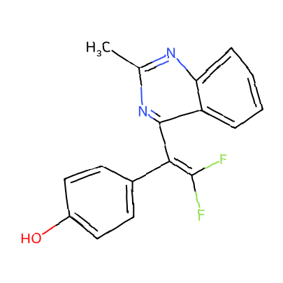 Cc1nc(C(=C(F)F)c2ccc(O)cc2)c2ccccc2n1